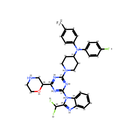 Fc1ccc(N(c2ccc(C(F)(F)F)cc2)C2CCN(c3nc(C4CNCCO4)nc(-n4c(C(F)F)nc5ccccc54)n3)CC2)cc1